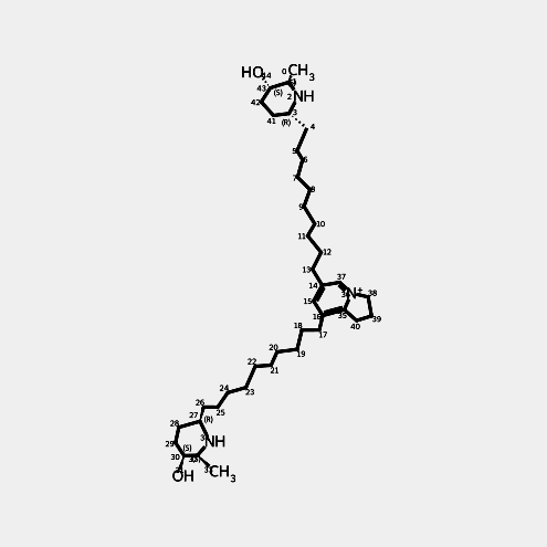 C[C@@H]1N[C@H](CCCCCCCCCCc2cc(CCCCCCCCCC[C@@H]3CC[C@H](O)[C@H](C)N3)c3[n+](c2)CCC3)CC[C@@H]1O